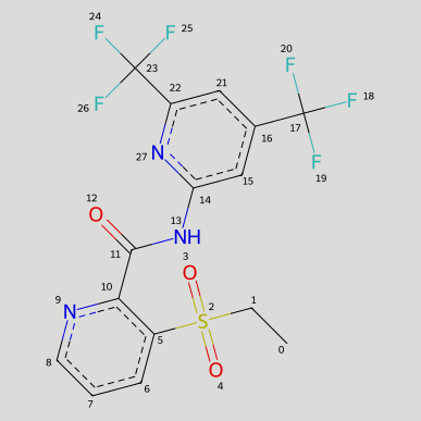 CCS(=O)(=O)c1cccnc1C(=O)Nc1cc(C(F)(F)F)cc(C(F)(F)F)n1